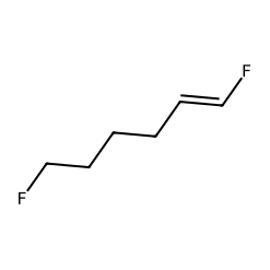 F/C=C/CCCCF